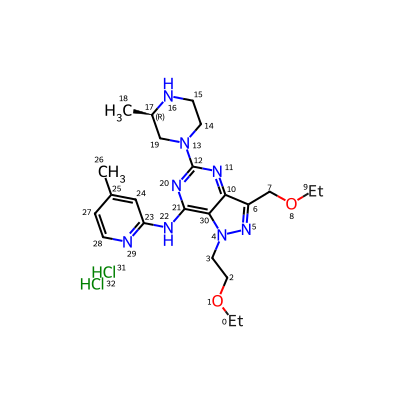 CCOCCn1nc(COCC)c2nc(N3CCN[C@H](C)C3)nc(Nc3cc(C)ccn3)c21.Cl.Cl